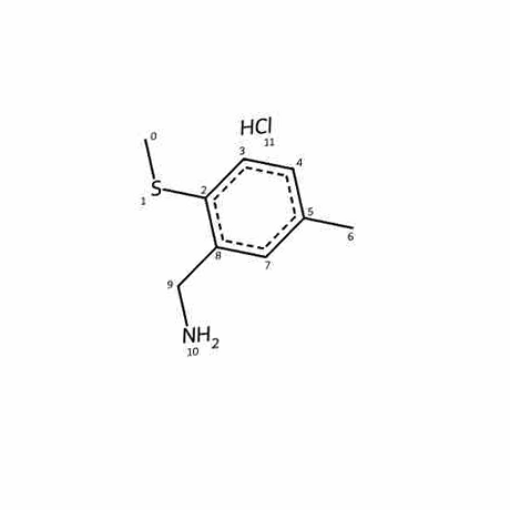 CSc1ccc(C)cc1CN.Cl